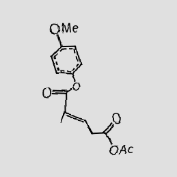 COc1ccc(OC(=O)C(C)=CCC(=O)OC(C)=O)cc1